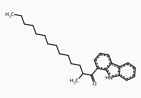 CCCCCCCCCCCCC(C)C(=O)c1cccc2c1[nH]c1ccccc12